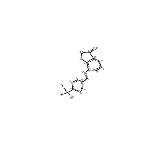 O=C1OCc2c(/N=C/c3ccc(C(F)(F)F)cc3)cccc21